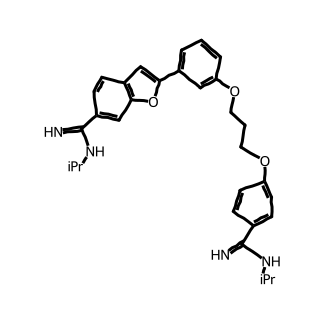 CC(C)NC(=N)c1ccc(OCCCOc2cccc(-c3cc4ccc(C(=N)NC(C)C)cc4o3)c2)cc1